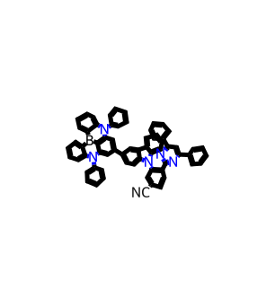 N#Cc1ccc(-c2nc(-c3ccccc3)cc(-c3ccccc3)n2)c(-n2c3ccccc3c3cc(-c4cc5c6c(c4)N(c4ccccc4)c4ccccc4B6c4ccccc4N5c4ccccc4)ccc32)c1